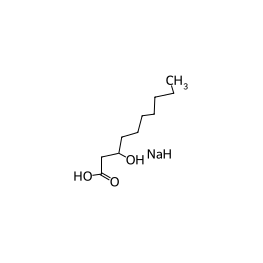 CCCCCCCC(O)CC(=O)O.[NaH]